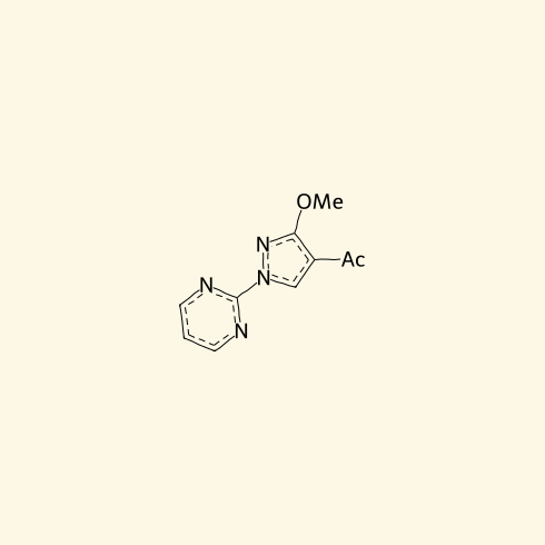 COc1nn(-c2ncccn2)cc1C(C)=O